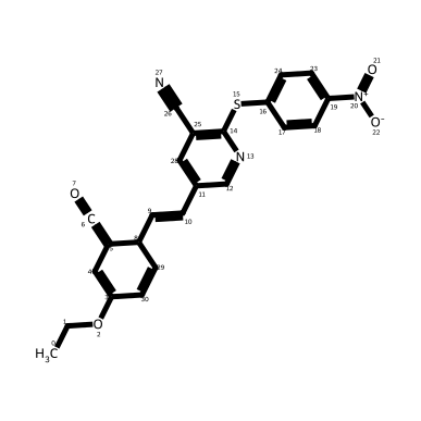 CCOC1=CC(=C=O)C(C=Cc2cnc(Sc3ccc([N+](=O)[O-])cc3)c(C#N)c2)C=C1